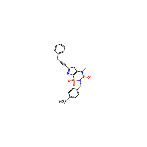 CN1C2=C(N=C(C#CCc3ccccc3)C2)S(=O)(=O)N(Cc2ccc(C(=O)O)cc2)[S+]1[O-]